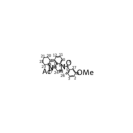 COc1cccc(C(=O)N2c3ccccc3[C@@H](N(C(C)=O)C3CCCCC3)C[C@H]2C)c1